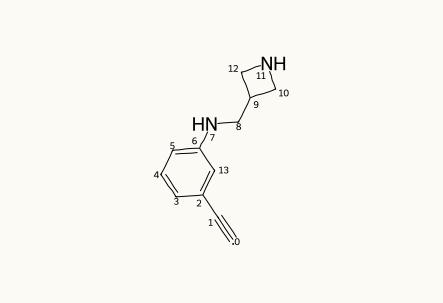 [C]#Cc1cccc(NCC2CNC2)c1